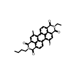 CCCCN1C(=O)c2ccc3c4c(F)cc5c6c(ccc(c7c(C)cc(c2c37)C1=O)c64)C(=O)N(CC)C5=O